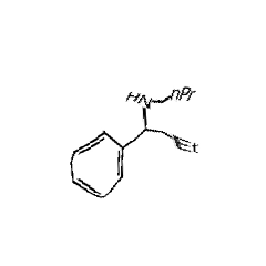 CCCNC(CC)c1ccccc1